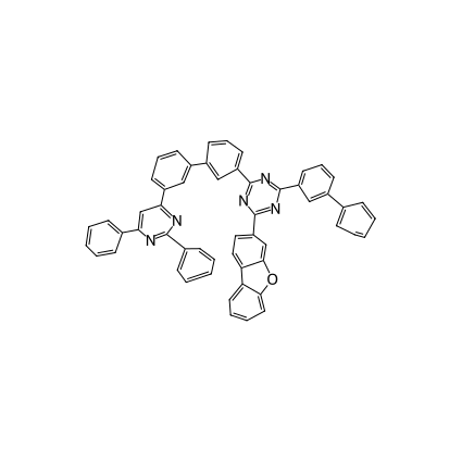 c1ccc(-c2cccc(-c3nc(-c4cccc(-c5cccc(-c6cc(-c7ccccc7)nc(-c7ccccc7)n6)c5)c4)nc(-c4ccc5c(c4)oc4ccccc45)n3)c2)cc1